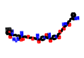 NC(=O)C(CCCCNC(=O)c1ccc([N+](=O)[O-])o1)NC(=O)CCOCCOCCNC(=O)C1CCN(C(=O)CNC(=O)C2CCN(C(=O)CCOCCOCCNC(=O)CCCc3c[nH]c4ccccc34)CC2)CC1